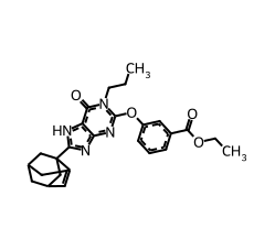 CCCn1c(Oc2cccc(C(=O)OCC)c2)nc2nc(C34CC5C=C3CC(C5)C4)[nH]c2c1=O